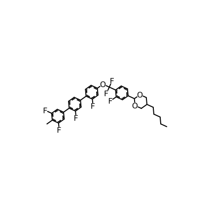 CCCCCC1COC(c2ccc(C(F)(F)Oc3ccc(-c4ccc(-c5cc(F)c(C)c(F)c5)c(F)c4)c(F)c3)c(F)c2)OC1